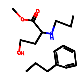 CCCNC(CCO)C(=O)OC.CCCc1ccccc1